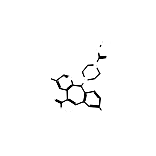 COC(=O)C1=Cc2cc(Cl)ccc2C(N2CCN(C(=O)OC(C)(C)C)CC2)c2ncc(Br)cc21